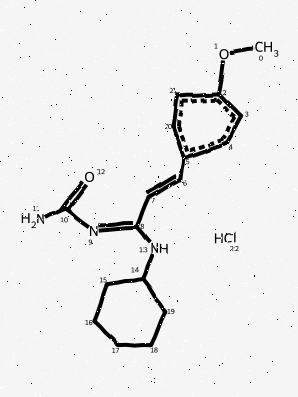 COc1ccc(/C=C/C(=N\C(N)=O)NC2CCCCC2)cc1.Cl